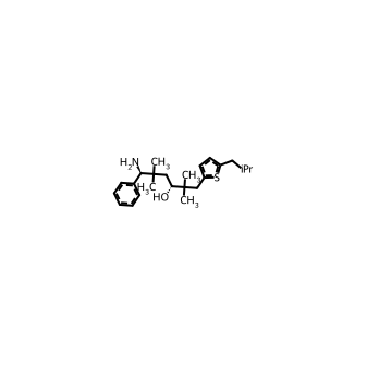 CC(C)Cc1ccc(CC(C)(C)[C@H](O)CC(C)(C)[C@H](N)c2ccccc2)s1